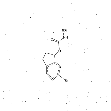 CC(C)(C)NC(=O)OC1CCc2ccc(Br)cc21